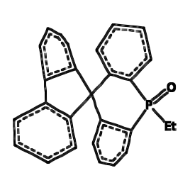 CCP1(=O)c2ccccc2C2(c3ccccc3-c3ccccc32)c2ccccc21